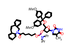 COc1ccc(C(OCC2OC(n3cc(C)c(=O)[nH]c3=O)CC2OP(OCCCCCC(=O)N2Cc3ccccc3/C=C\c3ccccc32)N(C(C)C)C(C)C)(c2ccccc2)c2ccc(OC)cc2)cc1